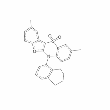 Cc1ccc2c(c1)S(=O)(=O)c1c(oc3ccc(C)cc13)N2c1cccc2c1CCCC2